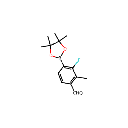 Cc1c(C=O)ccc(B2OC(C)(C)C(C)(C)O2)c1F